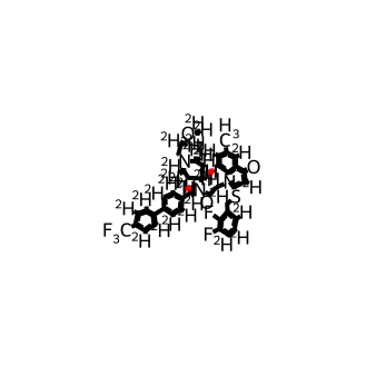 [2H]c1c([2H])c(F)c(F)c(CSc2c([2H])c(=O)c3c([2H])c(C)c([2H])c([2H])c3n2C([2H])([2H])C(=O)N(C([2H])([2H])c2c([2H])c([2H])c(-c3c([2H])c([2H])c(C(F)(F)F)c([2H])c3[2H])c([2H])c2[2H])C2([2H])C([2H])([2H])C([2H])([2H])N(CC([2H])([2H])OC([2H])([2H])[2H])C([2H])([2H])C2([2H])[2H])c1[2H]